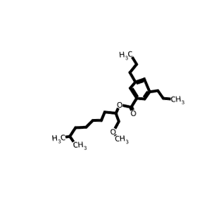 CCCc1cc(CCC)cc(C(=O)OC(CCCCCC(C)C)COC)c1